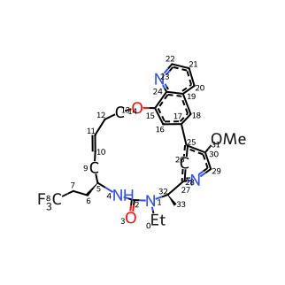 CCN1C(=O)N[C@@H](CCC(F)(F)F)C/C=C/CCOc2cc(cc3cccnc23)-c2cc(ncc2OC)[C@H]1C